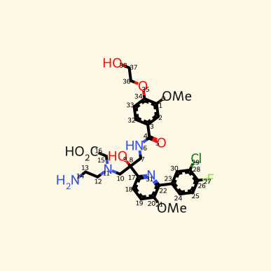 COc1cc(C(=O)NCC(O)(CN(CCN)CC(=O)O)c2ccc(OC)c(-c3ccc(F)c(Cl)c3)n2)ccc1OCCO